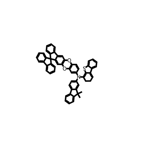 CC1(C)c2ccccc2-c2ccc(N(C3=c4sc5ccccc5c4=CCC3)c3ccc4c(c3)Oc3cc5c(cc3O4)-c3ccccc3C53c4ccccc4-c4ccccc43)cc21